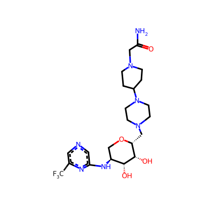 NC(=O)CN1CCC(N2CCN(C[C@H]3OC[C@H](Nc4cncc(C(F)(F)F)n4)[C@@H](O)[C@H]3O)CC2)CC1